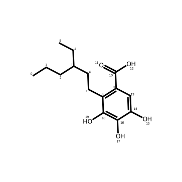 CCCC(CC)CCc1c(C(=O)O)cc(O)c(O)c1O